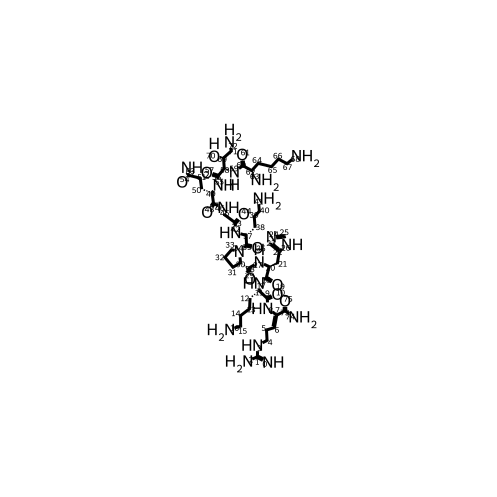 N=C(N)NCC/C=C(\NC(=O)[C@H](CCCCN)NC(=O)[C@H](Cc1cnc[nH]1)NC(=O)[C@@H]1CCCN1C(=O)[C@@H](CCCN)NC(=O)CNC(=O)[C@H](CCC(N)=O)NC(=O)[C@@H](NC(=O)[C@@H](N)CCCCN)[C@@H](O)CN)C(N)=O